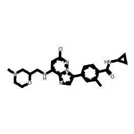 Cc1cc(-c2cnc3c(NCC4CN(C)CCO4)cc(Cl)nn23)ccc1C(=O)NC1CC1